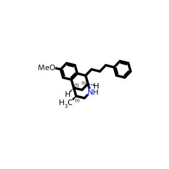 COc1ccc2c(c1)[C@H]1C[C@H](NC[C@H]1C)C2CCCc1ccccc1